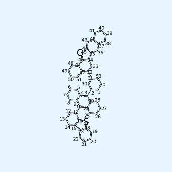 c1cc(-c2c3ccccc3c(-c3cccc4c3sc3ccccc34)c3ccccc23)cc(-c2cc3c4cc5ccccc5cc4oc3c3ccccc23)c1